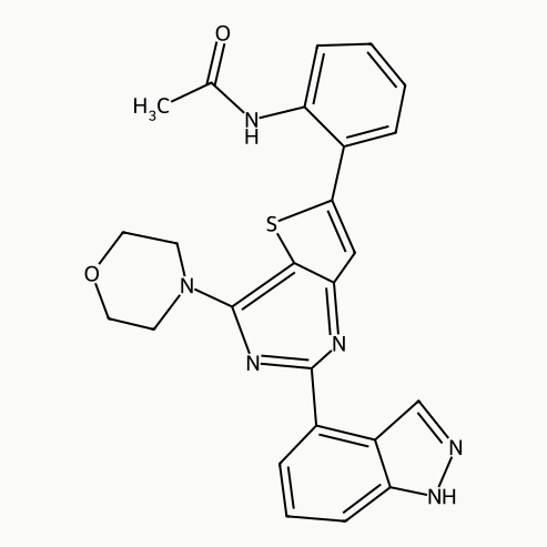 CC(=O)Nc1ccccc1-c1cc2nc(-c3cccc4[nH]ncc34)nc(N3CCOCC3)c2s1